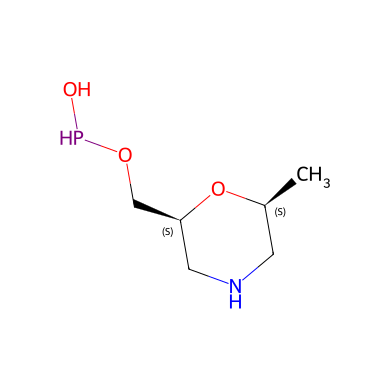 C[C@H]1CNC[C@@H](COPO)O1